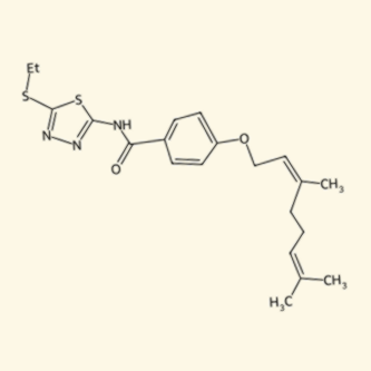 CCSc1nnc(NC(=O)c2ccc(OCC=C(C)CCC=C(C)C)cc2)s1